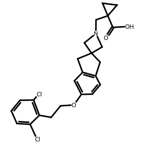 O=C(O)C1(CN2CC3(Cc4ccc(OCCc5c(Cl)cccc5Cl)cc4C3)C2)CC1